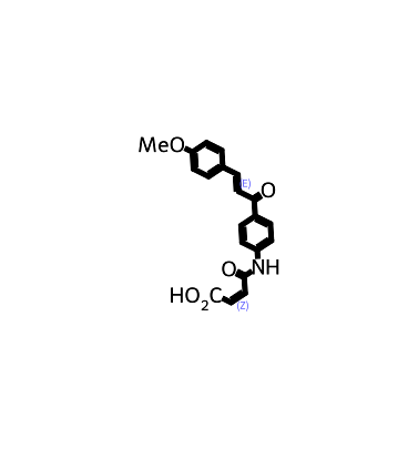 COc1ccc(/C=C/C(=O)c2ccc(NC(=O)/C=C\C(=O)O)cc2)cc1